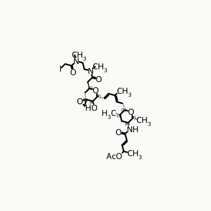 CC(=O)OC(C)C=CC(=O)N[C@@H]1C[C@H](C)[C@H](CC=C(C)C=C[C@H]2O[C@H](CC(=O)N(C)CCN(C)C(=O)CI)C[C@@]3(CO3)[C@@H]2O)O[C@@H]1C